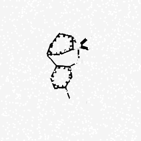 CCOC(=O)c1ccc2c(c1)NS(=O)(=O)c1ccc-2cc1Br